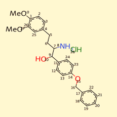 COc1ccc(CCC(N)C(O)c2ccc(OCc3ccccc3)cc2)cc1OC.Cl